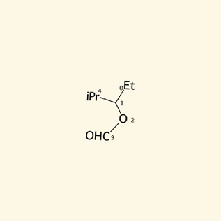 CCC(OC=O)C(C)C